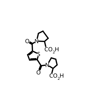 O=C(O)C1CCCN1C(=O)c1ccc(C(=O)N2CCCC2C(=O)O)s1